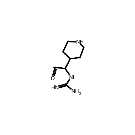 N=C(N)NC([C]=O)C1CCNCC1